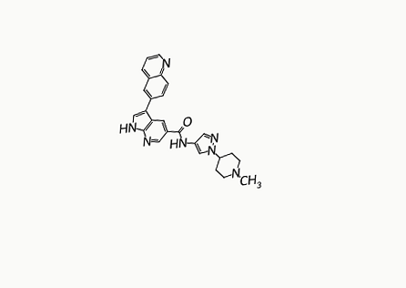 CN1CCC(n2cc(NC(=O)c3cnc4[nH]cc(-c5ccc6ncccc6c5)c4c3)cn2)CC1